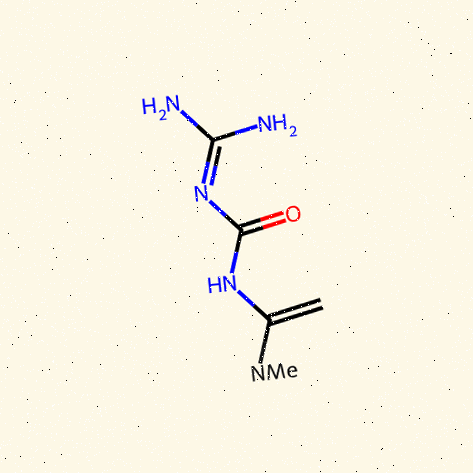 C=C(NC)NC(=O)N=C(N)N